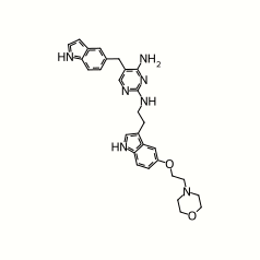 Nc1nc(NCCc2c[nH]c3ccc(OCCN4CCOCC4)cc23)ncc1Cc1ccc2[nH]ccc2c1